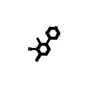 CCn1c(C)c(-c2ccncn2)ccc1=O